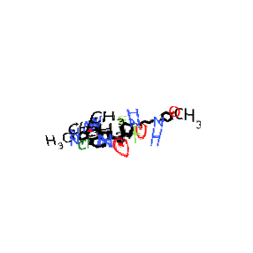 COC1CCC(NC/C=C/C(=O)Nc2c(F)cc(C(=O)c3cc(-c4cnn(C)c4)c4c(-c5c(C)cc6c(nc(C)n6C)c5Cl)cccn34)cc2F)CC1